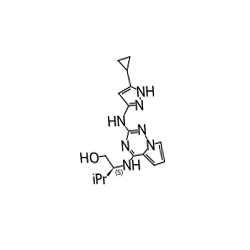 CC(C)[C@@H](CO)Nc1nc(Nc2cc(C3CC3)[nH]n2)nn2cccc12